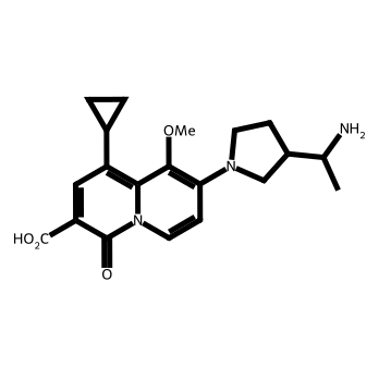 COc1c(N2CCC(C(C)N)C2)ccn2c(=O)c(C(=O)O)cc(C3CC3)c12